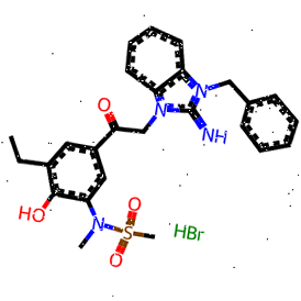 Br.CCc1cc(C(=O)Cn2c(=N)n(Cc3ccccc3)c3ccccc32)cc(N(C)S(C)(=O)=O)c1O